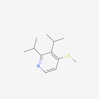 CSc1ccnc(C(C)C)c1C(C)C